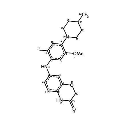 COc1cc(Nc2cnc3c(c2)OCC(=O)N3)c(C)cc1N1CCC(C(F)(F)F)CC1